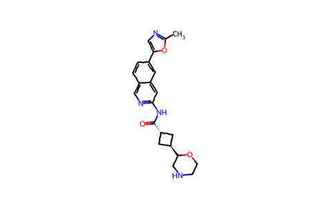 Cc1ncc(-c2ccc3cnc(NC(=O)[C@H]4C[C@H](C5CNCCO5)C4)cc3c2)o1